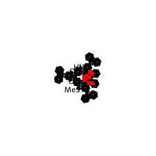 CSN1c2cc3c(cc2B2c4sc5ccccc5c4N(c4ccccc4)c4cc(-n5c6ccccc6c6ccccc65)cc1c42)B1c2cc4c(cc2Oc2cc(-n5c6ccccc6c6ccccc65)cc(c21)O3)Nc1cc(-n2c3ccccc3c3ccccc32)cc2c1B4c1sc3ccccc3c1N2c1ccccc1